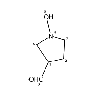 O=[C]C1CCN(O)C1